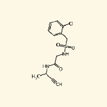 C#CC(C)NC(=O)CNS(=O)(=O)Cc1ccccc1Cl